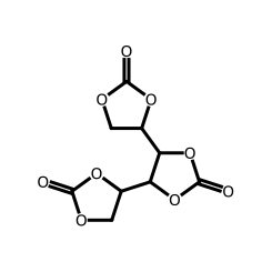 O=C1OCC(C2OC(=O)OC2C2COC(=O)O2)O1